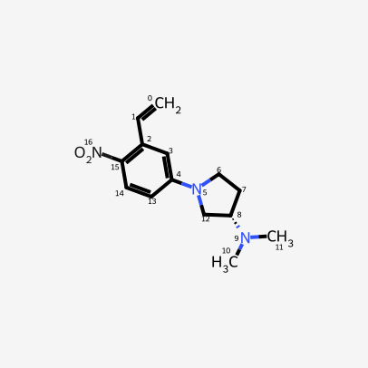 C=Cc1cc(N2CC[C@H](N(C)C)C2)ccc1[N+](=O)[O-]